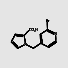 O=C(O)c1cccn1Cc1ccnc(Br)c1